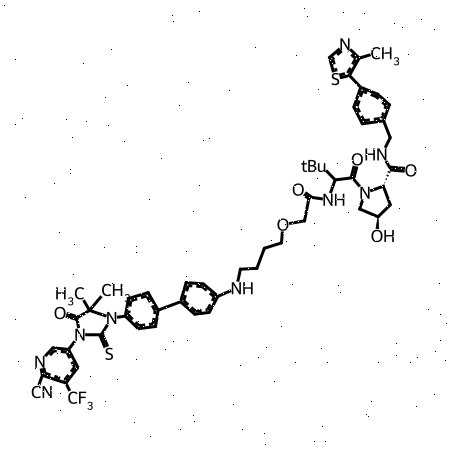 Cc1ncsc1-c1ccc(CNC(=O)[C@@H]2C[C@@H](O)CN2C(=O)C(NC(=O)COCCCCNc2ccc(-c3ccc(N4C(=S)N(c5cnc(C#N)c(C(F)(F)F)c5)C(=O)C4(C)C)cc3)cc2)C(C)(C)C)cc1